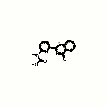 CN(C(=O)O)c1cccc(-c2nc(=O)c3ccccc3s2)n1